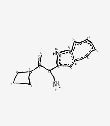 N[C](C(=O)N1CCC1)c1cc2ccccc2[nH]1